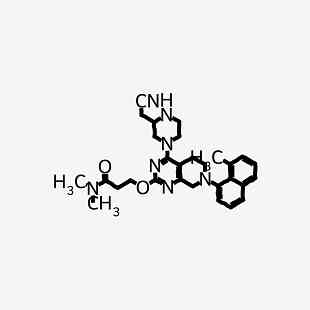 Cc1cccc2cccc(N3CCc4c(nc(OCCC(=O)N(C)C)nc4N4CCNC(CC#N)C4)C3)c12